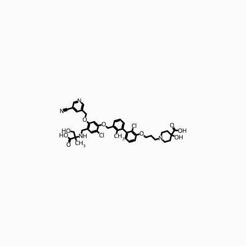 Cc1c(COc2cc(OCc3cncc(C#N)c3)c(CNC(C)(CO)C(=O)O)cc2Cl)cccc1-c1cccc(OCCCN2CCC(O)(C(=O)O)CC2)c1Cl